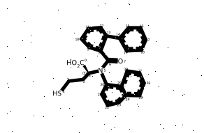 O=C(O)[C@H](CCS)N(C(=O)c1ccccc1-c1ccccc1)c1cccc2ccccc12